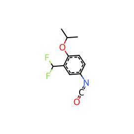 CC(C)Oc1ccc(N=C=O)cc1C(F)F